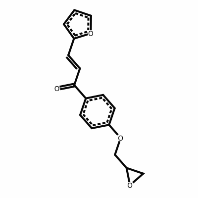 O=C(C=Cc1ccco1)c1ccc(OCC2CO2)cc1